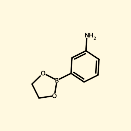 Nc1cccc(B2OCCO2)c1